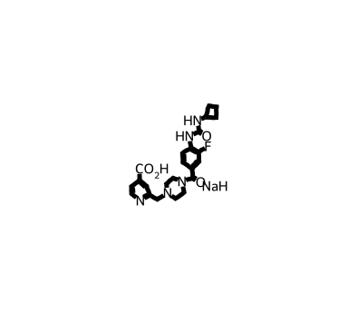 O=C(Nc1ccc(C(=O)N2CCN(Cc3cc(C(=O)O)ccn3)CC2)cc1F)NC1CCC1.[NaH]